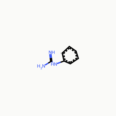 N=C(N)Nc1[c]cccc1